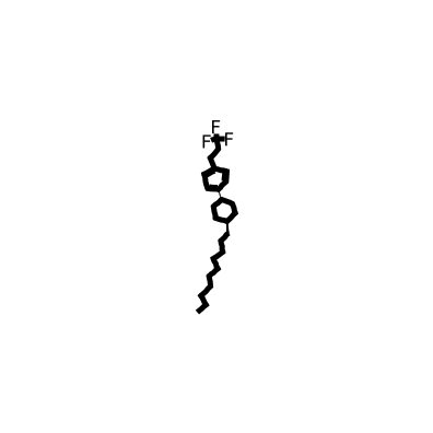 CCCCCCCCCC[C@H]1CC[C@H](c2ccc(CCC(F)(F)F)cc2)CC1